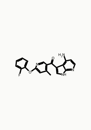 Cc1cc(Oc2ccccc2F)ncc1C(=O)c1c[nH]c2nccc(N)c12